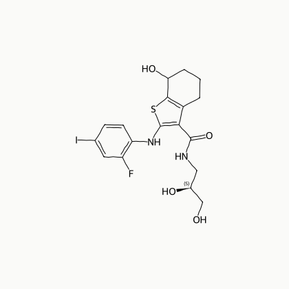 O=C(NC[C@H](O)CO)c1c(Nc2ccc(I)cc2F)sc2c1CCCC2O